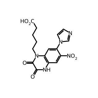 O=C(O)CCCCn1c(=O)c(=O)[nH]c2cc([N+](=O)[O-])c(-n3ccnc3)cc21